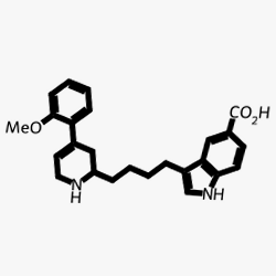 COc1ccccc1C1=CCNC(CCCCc2c[nH]c3ccc(C(=O)O)cc23)C1